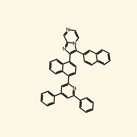 c1ccc(-c2cc(-c3ccccc3)nc(-c3ccc(-c4nc5cnccn5c4-c4ccc5ccccc5c4)c4ccccc34)c2)cc1